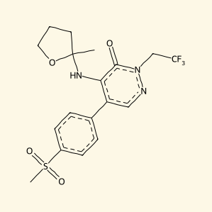 CC1(Nc2c(-c3ccc(S(C)(=O)=O)cc3)cnn(CC(F)(F)F)c2=O)CCCO1